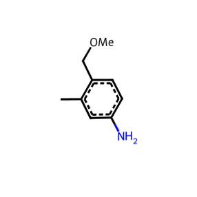 COCc1ccc(N)cc1C